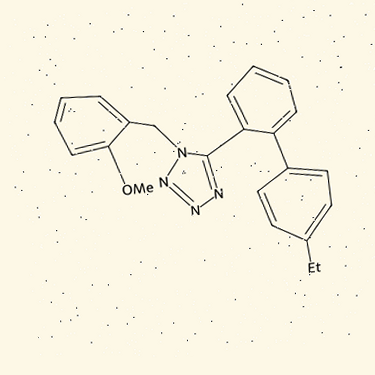 CCc1ccc(-c2ccccc2-c2nnnn2Cc2ccccc2OC)cc1